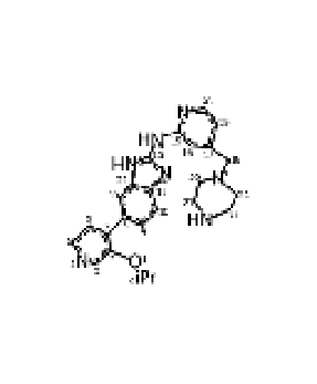 CC(C)Oc1cnccc1-c1ccc2nc(Nc3cc(CN4CCNCC4)ccn3)[nH]c2c1